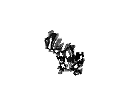 CN1CCC(Nc2cc(Nc3cnc(C#N)cn3)ncc2-c2ccc(N3CCOCC3)cc2)CC1